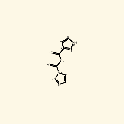 O=C(OC(=O)n1ccnn1)c1cc[nH]n1